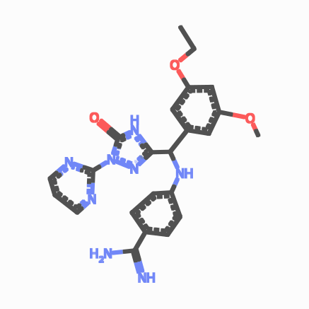 CCOc1cc(OC)cc(C(Nc2ccc(C(=N)N)cc2)c2nn(-c3ncccn3)c(=O)[nH]2)c1